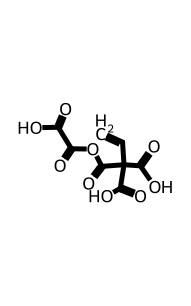 C=CC(C(=O)O)(C(=O)O)C(=O)OC(=O)C(=O)O